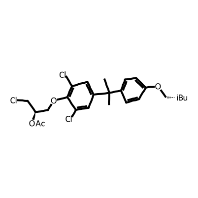 CC[C@@H](C)COc1ccc(C(C)(C)c2cc(Cl)c(OC[C@H](CCl)OC(C)=O)c(Cl)c2)cc1